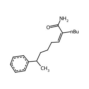 CCCCC(=CCCCC(C)c1ccccc1)C(N)=O